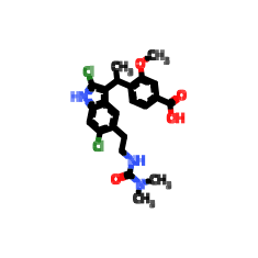 COc1cc(C(=O)O)ccc1C(C)c1c(Cl)[nH]c2cc(Cl)c(CCNC(=O)N(C)C)cc12